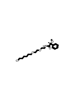 CO[C@@](C)(C(=O)NCCOCCOCCCCCCCl)c1ccccc1